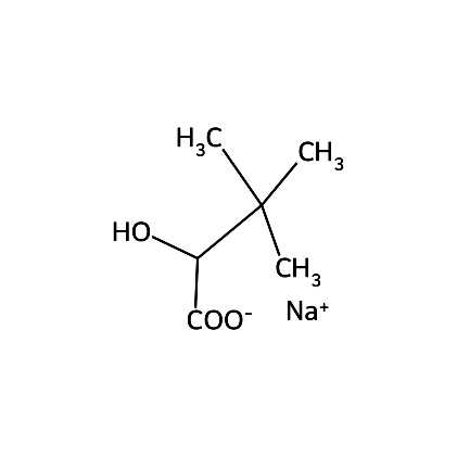 CC(C)(C)C(O)C(=O)[O-].[Na+]